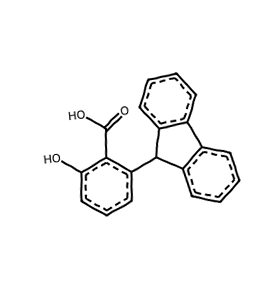 O=C(O)c1c(O)cccc1C1c2ccccc2-c2ccccc21